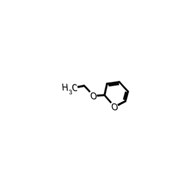 CCOC1C=CC=CO1